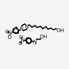 CN(CCO)c1ccc([N+](=O)[O-])cc1.O=[N+]([O-])c1ccc(N2CCN(CCCCCCCCCCCO)CC2)cc1